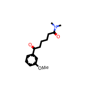 COc1cccc(C(=O)CCCCC(=O)N(C)C)c1